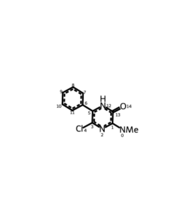 CNc1nc(Cl)c(-c2ccccc2)[nH]c1=O